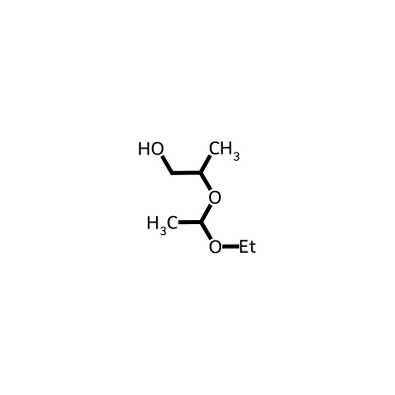 CCOC(C)OC(C)CO